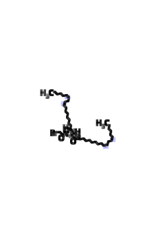 CCCCC/C=C\C/C=C\CCCCCCCCOC(=O)[C@H](CNC(=O)CBr)NC(=O)CCCCCCC/C=C\C/C=C\CCCCC